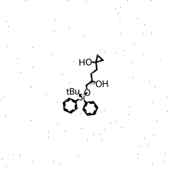 CC(C)(C)[Si](OC[C@H](O)CCC1(O)CC1)(c1ccccc1)c1ccccc1